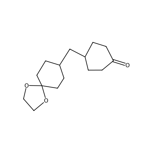 O=C1CCC(CC2CCC3(CC2)OCCO3)CC1